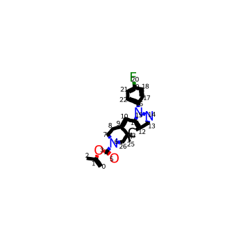 C=C(C)OC(=O)N1CCC2=Cc3c(cnn3-c3ccc(F)cc3)C[C@]2(C)C1